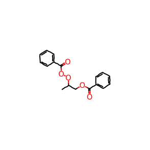 CC(COC(=O)c1ccccc1)OOC(=O)c1ccccc1